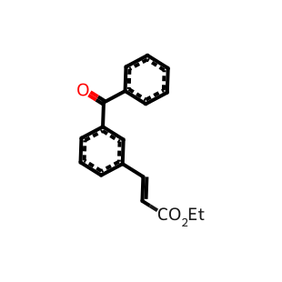 CCOC(=O)C=Cc1cccc(C(=O)c2ccccc2)c1